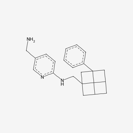 NCc1ccc(NCC23CC4CC5CC(c6ccccc6)(C2)C453)nc1